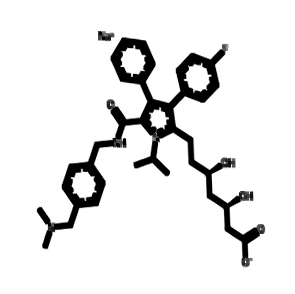 CC(C)n1c(CC[C@@H](O)C[C@@H](O)CC(=O)[O-])c(-c2ccc(F)cc2)c(-c2ccccc2)c1C(=O)NCc1ccc(CN(C)C)cc1.[Na+]